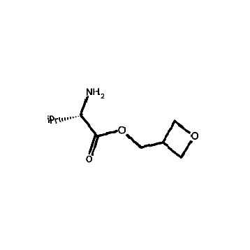 CC(C)[C@H](N)C(=O)OCC1COC1